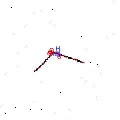 CCC=CCC=CCC=CCC=CCC=CCC=CCCC(=O)NCCCCC(NC(=O)CCCC=CCC=CCC=CCC=CCC=CCC)C(=O)OC